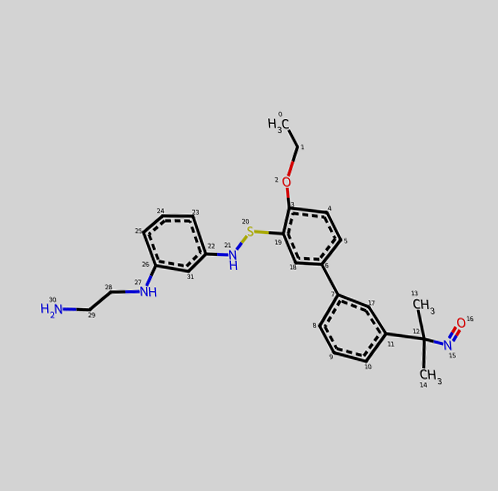 CCOc1ccc(-c2cccc(C(C)(C)N=O)c2)cc1SNc1cccc(NCCN)c1